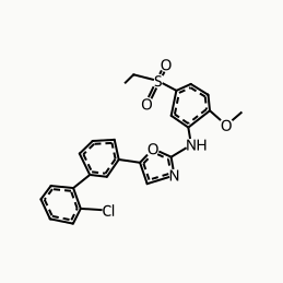 CCS(=O)(=O)c1ccc(OC)c(Nc2ncc(-c3cccc(-c4ccccc4Cl)c3)o2)c1